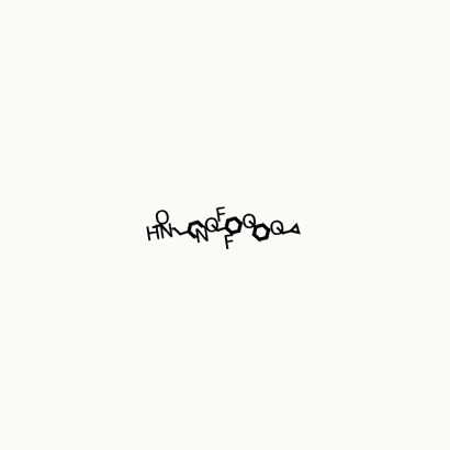 CC(=O)NCCc1ccc(OCc2c(F)cc(Oc3cccc(OCC4CC4)c3)cc2F)nc1